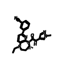 CCN1CC[C@@H](C)N(C(=O)Nc2cnn(C)c2)c2nc(-c3cccc(C#N)c3)ccc21